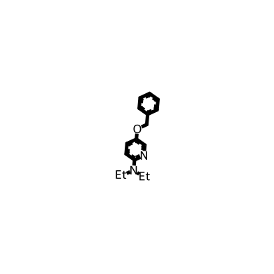 CCN(CC)c1ccc(OCc2ccccc2)cn1